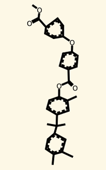 COC(=O)c1ccc(Oc2ccc(C(=O)Oc3ccc(C(C)(C)c4ccc(C)c(C)c4)cc3C)cc2)cc1